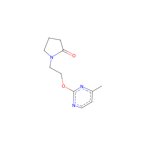 Cc1[c]cnc(OCCN2CCCC2=O)n1